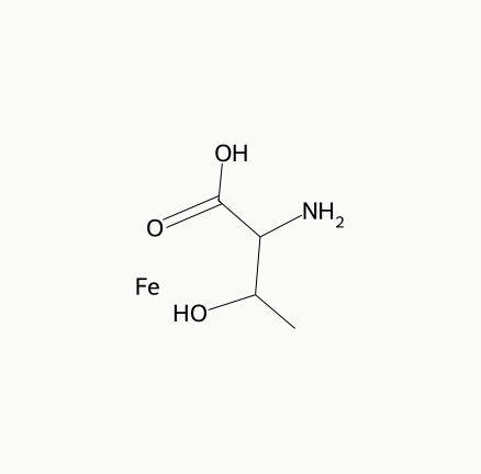 CC(O)C(N)C(=O)O.[Fe]